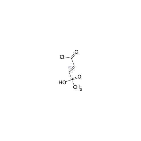 CP(=O)(O)/C=C/C(=O)Cl